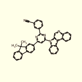 CC1(C)c2ccccc2-c2ccc(-c3cc(-n4c5ccccc5c5c6ccccc6ncc54)nc(-c4cccc(C#N)c4)n3)cc21